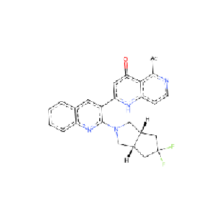 CC(=O)c1nccc2[nH]c(-c3cc4ccccc4nc3N3C[C@@H]4CC(F)(F)C[C@@H]4C3)cc(=O)c12